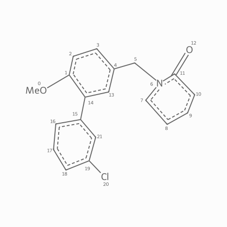 COc1ccc(Cn2ccccc2=O)cc1-c1cccc(Cl)c1